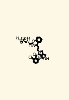 CS(=O)(=O)CNCC(=O)NC(CCN1CC2CNC[C@H]2[C@H]1C(=O)c1c(F)cccc1Cl)c1ccccc1